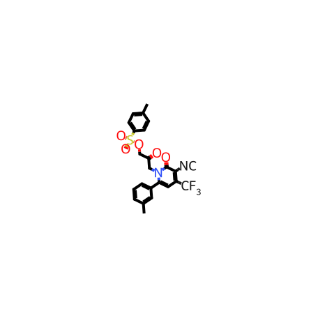 [C-]#[N+]c1c(C(F)(F)F)cc(-c2cccc(C)c2)n(CC(=O)COS(=O)(=O)c2ccc(C)cc2)c1=O